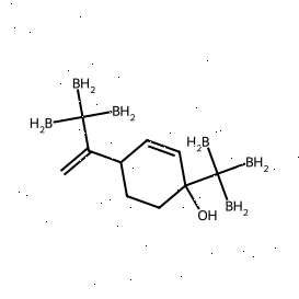 BC(B)(B)C(=C)C1C=CC(O)(C(B)(B)B)CC1